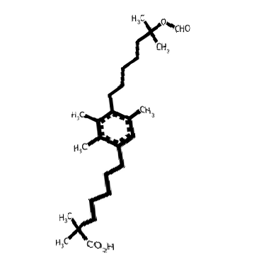 Cc1cc(CCCCCC(C)(C)C(=O)O)c(C)c(C)c1CCCCCC(C)(C)OC=O